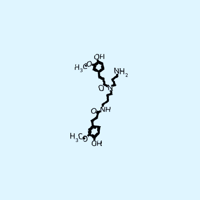 COc1cc(/C=C/C(=O)NCCCCN(CCCN)C(=O)/C=C/c2ccc(O)c(OC)c2)ccc1O